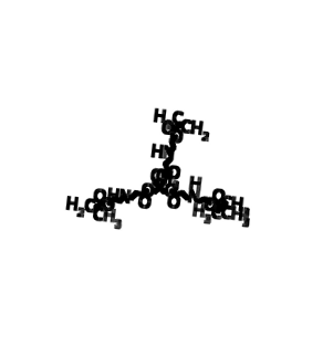 C=C(C)C(=O)OCCNCCC(=O)OCC(CC)(COC(=O)CCNCCOC(=O)C(=C)C)COC(=O)CCNCCOC(=O)C(C)(C)C